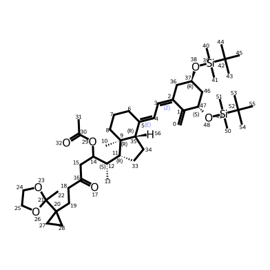 C=C1/C(=C\C=C2/CCC[C@]3(C)[C@@H]([C@H](C)C(CC(=O)CCC4(C5(C)OCCO5)CC4)OC(C)=O)CC[C@@H]23)C[C@@H](O[Si](C)(C)C(C)(C)C)C[C@@H]1O[Si](C)(C)C(C)(C)C